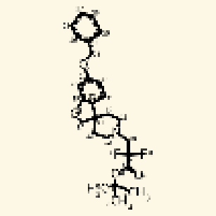 CC(C)(C)OC(=O)C(F)(F)CN1CCC2(CC1)COc1cc(OCc3ccccc3)ccc12